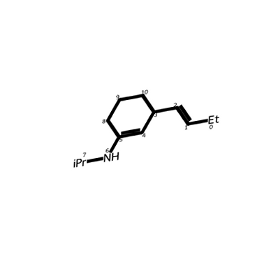 CC/C=C/C1C=C(NC(C)C)CCC1